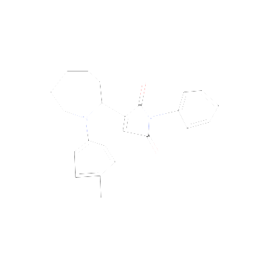 Cc1ccc(N2CCCCCC2C2=CC(=O)N(c3ccccc3)C2=O)cc1